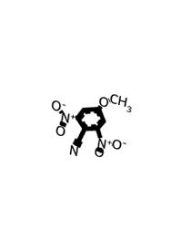 COc1cc([N+](=O)[O-])c(C#N)c([N+](=O)[O-])c1